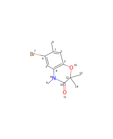 Cc1cc2c(cc1Br)N(C)C(=O)C(C)(C)O2